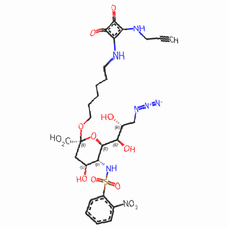 C#CCNc1c(NCCCCCCO[C@]2(C(=O)O)C[C@H](O)[C@@H](NS(=O)(=O)c3ccccc3[N+](=O)[O-])[C@H]([C@H](O)[C@H](O)CN=[N+]=[N-])O2)c(=O)c1=O